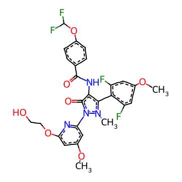 COc1cc(OCCO)nc(-n2c(=O)c(NC(=O)c3ccc(OC(F)F)cc3)c(-c3c(F)cc(OC)cc3F)n2C)c1